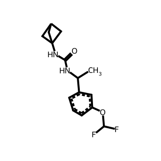 CC(NC(=O)NC12CC(C1)C2)c1cccc(OC(F)F)c1